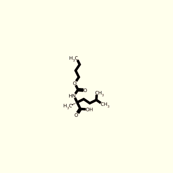 CCCCOC(=O)N[C@@](C)(CCC(C)C)C(=O)O